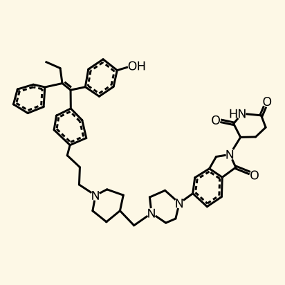 CC/C(=C(\c1ccc(O)cc1)c1ccc(CCCN2CCC(CN3CCN(c4ccc5c(c4)CN(C4CCC(=O)NC4=O)C5=O)CC3)CC2)cc1)c1ccccc1